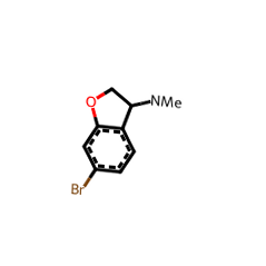 CNC1COc2cc(Br)ccc21